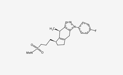 CNS(=O)(=O)CCC[C@@H]1CCC2=C1[C@@H](C)c1cnn(-c3ccc(F)cc3)c1C2